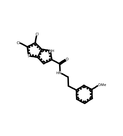 COc1cccc(CCNC(=O)c2cc3sc(Cl)c(Cl)c3[nH]2)c1